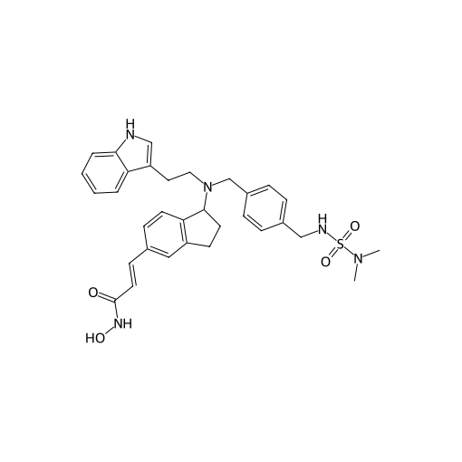 CN(C)S(=O)(=O)NCc1ccc(CN(CCc2c[nH]c3ccccc23)C2CCc3cc(C=CC(=O)NO)ccc32)cc1